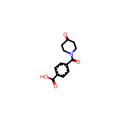 O=C1CCN(C(=O)c2ccc(C(=O)O)cc2)CC1